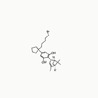 CC1=CC(c2c(O)cc(C3(CCCCCBr)CCCC3)cc2O)[C@@H]2C[C@H]1C2(C)C